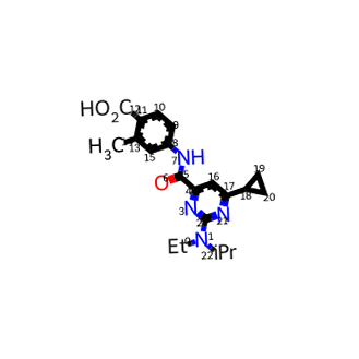 CCN(c1nc(C(=O)Nc2ccc(C(=O)O)c(C)c2)cc(C2CC2)n1)C(C)C